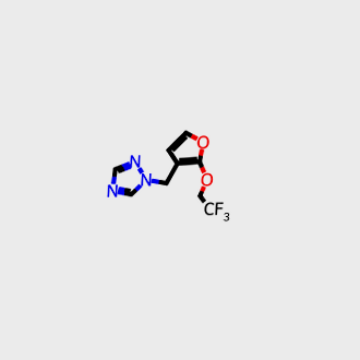 FC(F)(F)COc1occc1Cn1cncn1